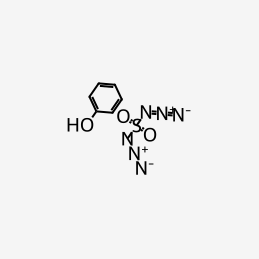 Oc1ccccc1.[N-]=[N+]=NS(=O)(=O)N=[N+]=[N-]